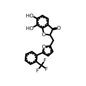 O=C1c2ccc(O)c(O)c2OC1Cc1ccc(-c2ccccc2C(F)(F)F)o1